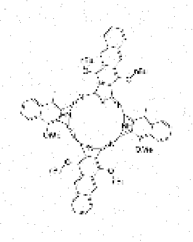 CCCCOc1c2c(c(OCCCC)c3cc4ccccc4cc13)-c1nc-2nc2[nH]c(nc3nc(nc4[nH]c(n1)c1c(C)c5ccccc5c(OC)c41)-c1c-3c(OCCCC)c3cc4ccccc4cc3c1OCCCC)c1c(OC)c3ccccc3c(C)c21